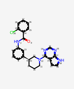 O=C(Nc1cccc([C@@H]2CCCN(c3ncnc4[nH]ccc34)C2)c1)c1ccccc1Cl